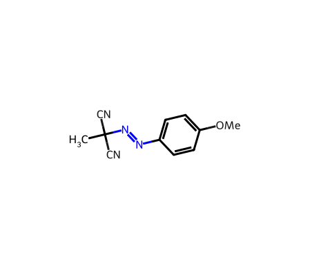 COc1ccc(N=NC(C)(C#N)C#N)cc1